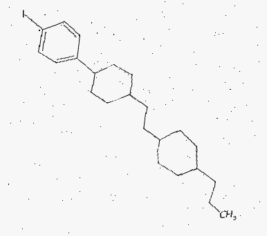 CCCC1CCC(CCC2CCC(c3ccc(I)cc3)CC2)CC1